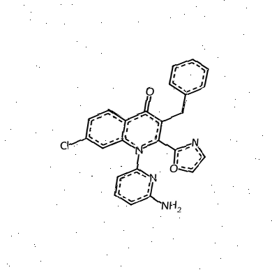 Nc1cccc(-n2c(-c3ncco3)c(Cc3ccccc3)c(=O)c3ccc(Cl)cc32)n1